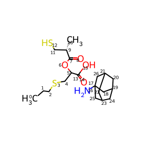 CCCSCC(OC(=O)[C@@H](C)CS)C(=O)O.NC12CC3CC(CC(C3)C1)C2